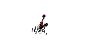 CC(C)C[C@@H]1NC(=O)C2(CCN(CCCCCCc3ccccc3)CC2)N(CCN2CCCCC2)C1=O